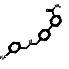 NC(=O)c1cccc(-c2ccc(CNCc3cccc(C(F)(F)F)c3)cc2)c1